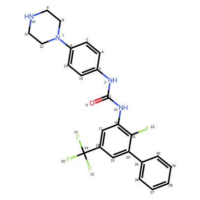 O=C(Nc1ccc(N2CCNCC2)cc1)Nc1cc(C(F)(F)F)cc(-c2ccccc2)c1F